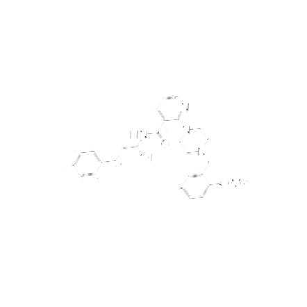 COc1ccccc1CN1CCN(c2ncccc2C(=O)NC(O)CCc2ccccc2)CC1